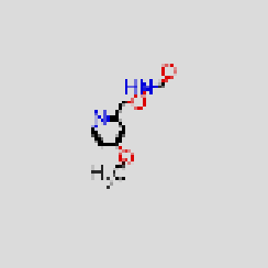 COc1ccnc(CONC=O)c1